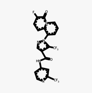 O=C(Nc1ccnc(C(F)(F)F)c1)c1cnn(-c2cccn3c(=O)c(F)ccc23)c1C(F)(F)F